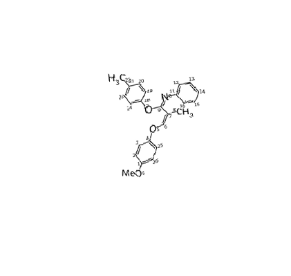 COc1ccc(OC=C(C)C(=Nc2ccccc2)Oc2ccc(C)cc2)cc1